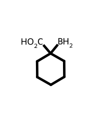 BC1(C(=O)O)CCCCC1